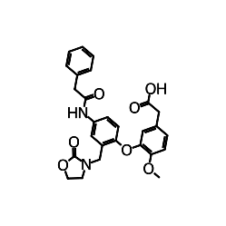 COc1ccc(CC(=O)O)cc1Oc1ccc(NC(=O)Cc2ccccc2)cc1CN1CCOC1=O